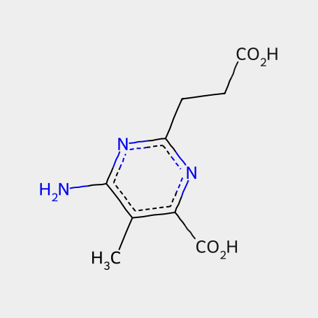 Cc1c(N)nc(CCC(=O)O)nc1C(=O)O